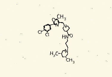 Cc1oc(-c2ccc(Cl)c(Cl)c2)nc1CN1CCC(C(=O)NCCCN2C[C@H](C)C[C@H](C)C2)CC1